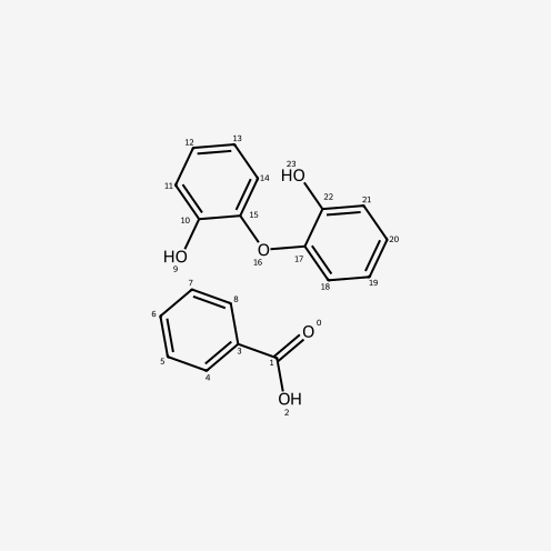 O=C(O)c1ccccc1.Oc1ccccc1Oc1ccccc1O